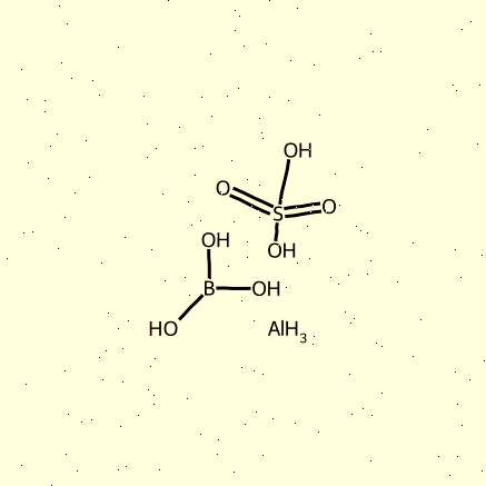 O=S(=O)(O)O.OB(O)O.[AlH3]